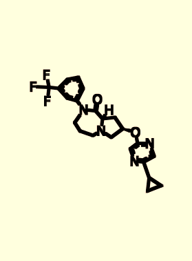 O=C1[C@@H]2C[C@@H](Oc3cnc(C4CC4)cn3)CN2CCCN1c1cccc(C(F)(F)F)c1